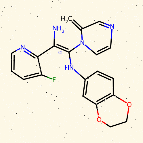 C=C1C=NC=CN1/C(Nc1ccc2c(c1)OCCO2)=C(\N)c1ncccc1F